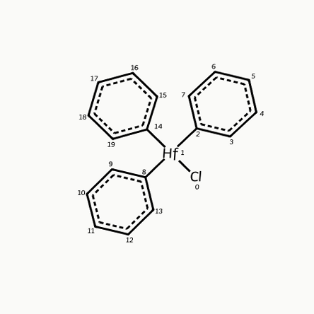 [Cl][Hf]([c]1ccccc1)([c]1ccccc1)[c]1ccccc1